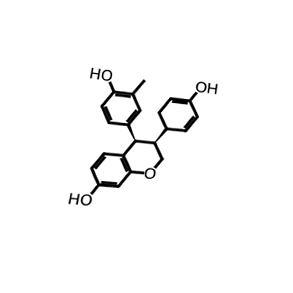 Cc1cc([C@@H]2c3ccc(O)cc3OC[C@@H]2C2C=CC(O)=CC2)ccc1O